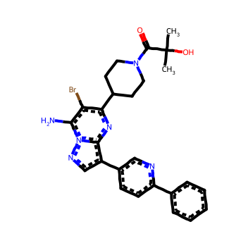 CC(C)(O)C(=O)N1CCC(c2nc3c(-c4ccc(-c5ccccc5)nc4)cnn3c(N)c2Br)CC1